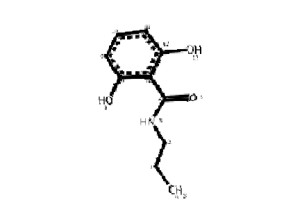 CCCNC(=O)c1c(O)cccc1O